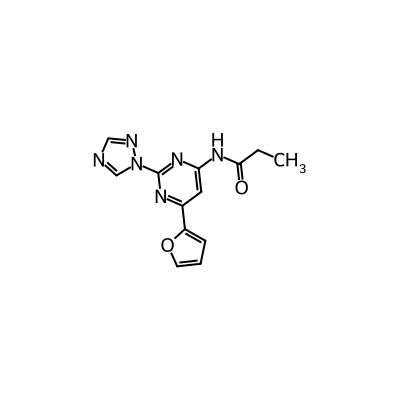 CCC(=O)Nc1cc(-c2ccco2)nc(-n2cncn2)n1